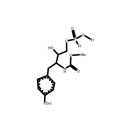 CCCCCCCCc1ccc(CC(NC(=O)OCCCC)C(O)COP(=O)(CC)OCC)cc1